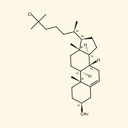 CC(=O)O[C@H]1CC[C@@]2(C)C(=CC[C@H]3[C@@H]4CC[C@H]([C@H](C)CCCC(C)(C)Cl)[C@@]4(C)CC[C@@H]32)C1